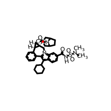 CN1CC2CCC(C1)N2C(=O)[C@@]12C[C@@H]1c1ccccc1-c1c(C3CCCCC3)c3ccc(C(=O)NS(=O)(=O)N(C)C)cc3n1C2